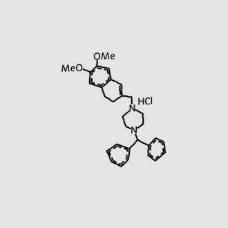 COc1cc2c(cc1OC)CCC(CN1CCN(C(c3ccccc3)c3ccccc3)CC1)=C2.Cl